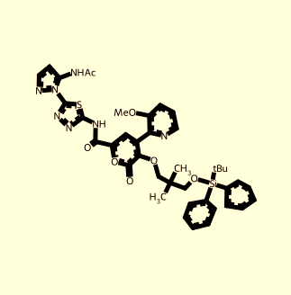 COc1cccnc1-c1cc(C(=O)Nc2nnc(-n3nccc3NC(C)=O)s2)oc(=O)c1OCC(C)(C)CO[Si](c1ccccc1)(c1ccccc1)C(C)(C)C